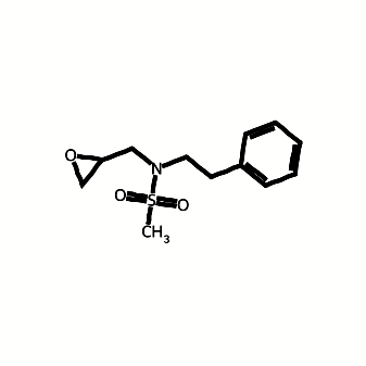 CS(=O)(=O)N(CCc1ccccc1)CC1CO1